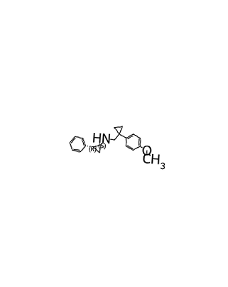 COc1ccc(C2(CN[C@H]3C[C@@H]3c3ccccc3)CC2)cc1